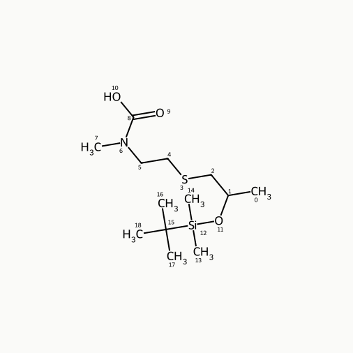 CC(CSCCN(C)C(=O)O)O[Si](C)(C)C(C)(C)C